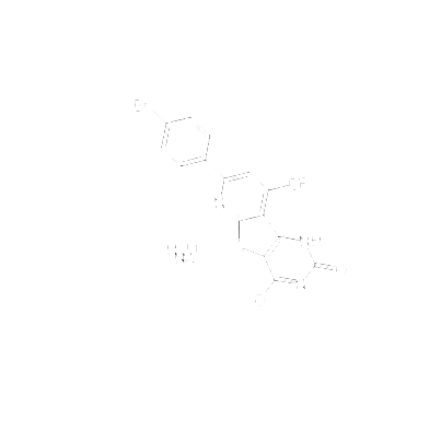 O.O=c1nc([O-])c2sc3nc(-c4ccc(Br)cc4)cc(C(F)(F)F)c3c2[nH]1.[Na+]